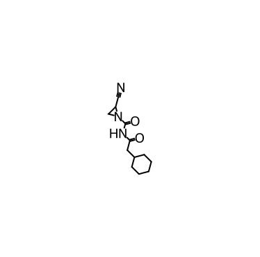 N#CC1CN1C(=O)NC(=O)CC1CCCCC1